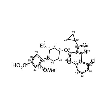 CC[C@@H]1C[C@H](OC(=O)c2c(-c3c(Cl)cccc3Cl)noc2C2CC2)CCN1c1ccc(C(=O)O)cc1OC